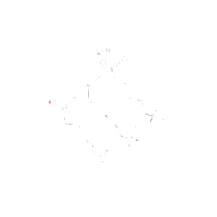 CC(C)(C)CCCCCC(=O)[O-].CC(C)(C)CCCCCC(=O)[O-].CC(C)(C)CCCCCC(=O)[O-].[Al+3]